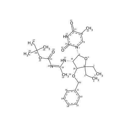 CCC1(CC)O[C@@H](n2cc(C)c(=O)[nH]c2=O)[C@@H](N/C(C)=N\C(=O)OC(C)(C)C)C1OCc1ccccc1